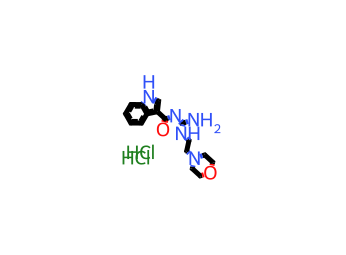 Cl.Cl.NC(=NC(=O)c1c[nH]c2ccccc12)NCCN1CCOCC1